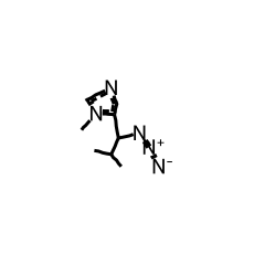 CC(C)C(N=[N+]=[N-])c1cncn1C